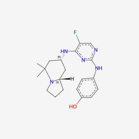 CC1(C)C[C@H](Nc2nc(Nc3ccc(O)cc3)ncc2F)C[C@@H]2CCCN21